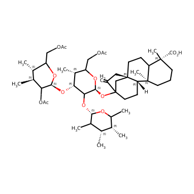 C=C1C[C@@]23CCC4[C@](C)(C(=O)O)CCC[C@@]4(C)[C@@H]2CCC1(O[C@@H]1OC(COC(C)=O)[C@@H](C)[C@@H](O[C@@H]2OC(COC(C)=O)[C@@H](C)[C@H](C)C2OC(C)=O)C1O[C@@H]1OC(C)[C@H](C)[C@H](C)C1C)C3